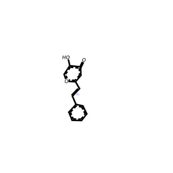 O=c1cc(/C=C/c2ccccc2)occ1O